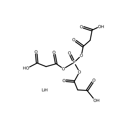 O=C(O)CC(=O)OP(=O)(OC(=O)CC(=O)O)OC(=O)CC(=O)O.[LiH]